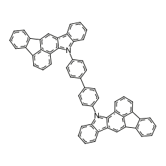 c1ccc2c(c1)-c1cccc3c1c-2cc1c2ccccc2n(-c2ccc(-c4ccc(-n5c6ccccc6c6cc7c8c(cccc8c65)-c5ccccc5-7)cc4)cc2)c31